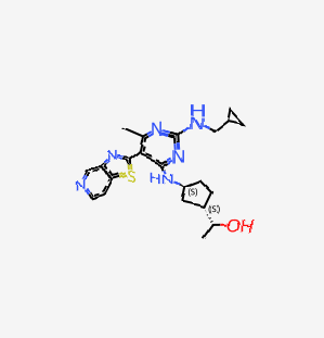 Cc1nc(NCC2CC2)nc(N[C@H]2CC[C@H](C(C)O)C2)c1-c1nc2cnccc2s1